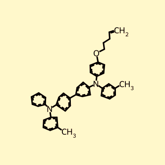 C=CCCCOc1ccc(N(c2ccc(-c3ccc(N(c4ccccc4)c4cccc(C)c4)cc3)cc2)c2cccc(C)c2)cc1